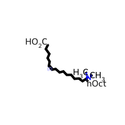 CCCCCCCCC(CCCCCCCC/C=C\CCCCCC(=O)O)N(C)C